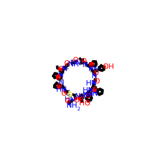 CCCC[C@H]1C(=O)N(C)CC(=O)N[C@@H](C)C(=O)N[C@@H](C(C)C)C(=O)N(C)[C@@H](Cc2ccccc2)C(=O)N[C@@H](CCc2ccc(O)cc2)C(=O)N(C)CC(=O)N[C@@H](Cc2c[nH]c3ccccc23)C(=O)N[C@@H](Cc2ccc(O)cc2)C(=O)N[C@@H](CC(C)C)C(=O)N[C@H](C(=O)NCC(N)=O)CSCC(=O)N[C@@H](Cc2ccccc2)C(=O)N(C)[C@@H](Cc2ccccc2)C(=O)N1C